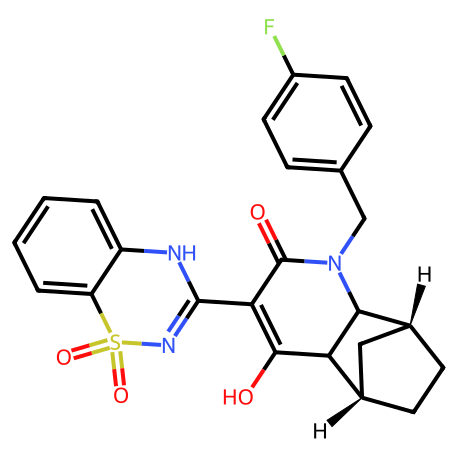 O=C1C(C2=NS(=O)(=O)c3ccccc3N2)=C(O)C2C([C@@H]3CC[C@H]2C3)N1Cc1ccc(F)cc1